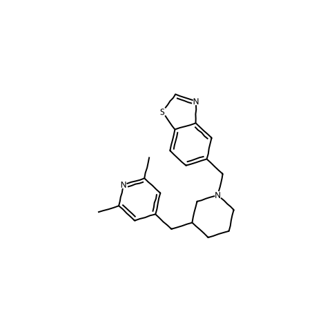 Cc1cc(CC2CCCN(Cc3ccc4scnc4c3)C2)cc(C)n1